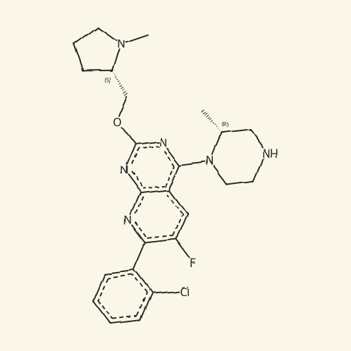 C[C@@H]1CNCCN1c1nc(OC[C@@H]2CCCN2C)nc2nc(-c3ccccc3Cl)c(F)cc12